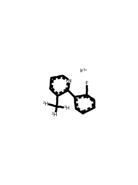 [2H]C([2H])([2H])c1cccnc1-c1ccccc1F.[Ir+3]